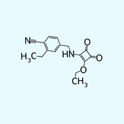 CCOc1c(NCc2ccc(C#N)c(CC)c2)c(=O)c1=O